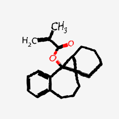 C=C(C)C(=O)OC12c3ccccc3CCCC13CCCCC32